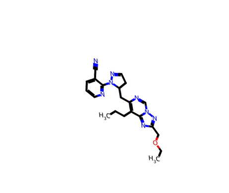 CCCc1c(CC2CC=NN2c2ncccc2C#N)ncn2nc(COCC)nc12